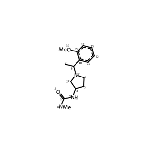 CNC(=O)NC1CCN(C(C)c2ccccc2OC)C1